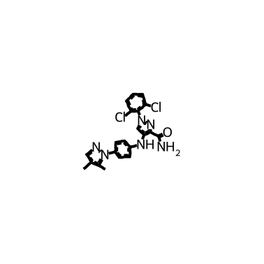 Cc1cnn(-c2ccc(Nc3cn(-c4c(Cl)cccc4Cl)nc3C(N)=O)cc2)c1C